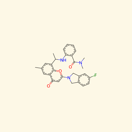 Cc1cc(C(C)Nc2ccccc2C(=O)N(C)C)c2oc(N3Cc4ccc(F)cc4C3)cc(=O)c2c1